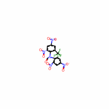 O=CN(c1c(Cl)cc([N+](=O)[O-])cc1[N+](=O)[O-])c1c([N+](=O)[O-])cc([N+](=O)[O-])cc1C(F)(F)F